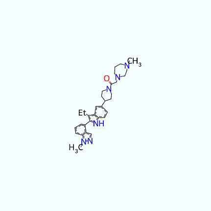 CCc1c(-c2cccc3c2cnn3C)[nH]c2ccc(C3CCN(C(=O)CN4CCCN(C)CC4)CC3)cc12